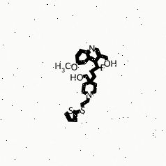 COc1ccc2ncc(CO)c([C@@H](F)CCC3(CO)CCN(CCSc4cccs4)CC3)c2c1